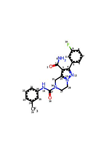 NC(=O)c1c(-c2cccc(F)c2)nn2c1CN(C(=O)Nc1cccc(C(F)(F)F)c1)CC2